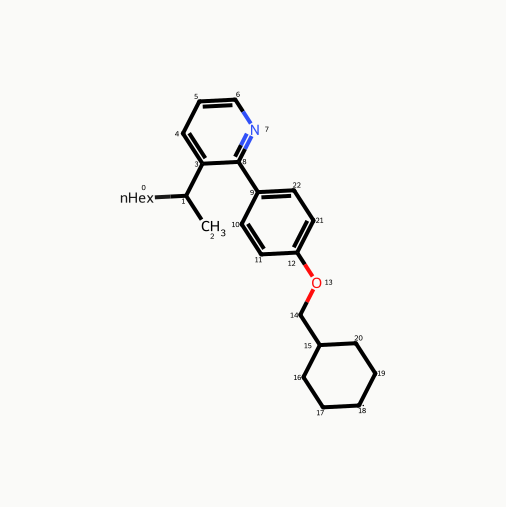 CCCCCCC(C)c1cccnc1-c1ccc(OCC2CC[CH]CC2)cc1